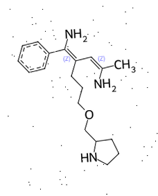 C/C(N)=C/C(CCCOCC1CCCN1)=C(\N)c1ccccc1